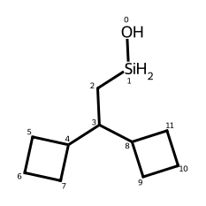 O[SiH2]CC(C1CCC1)C1CCC1